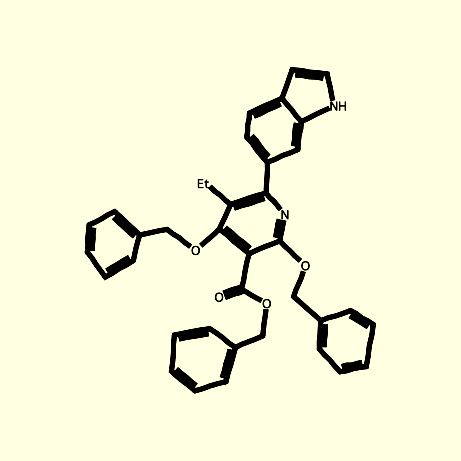 CCc1c(-c2ccc3cc[nH]c3c2)nc(OCc2ccccc2)c(C(=O)OCc2ccccc2)c1OCc1ccccc1